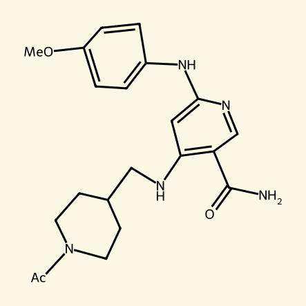 COc1ccc(Nc2cc(NCC3CCN(C(C)=O)CC3)c(C(N)=O)cn2)cc1